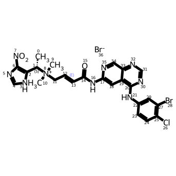 C[C@@H](c1[nH]cnc1[N+](=O)[O-])[N+](C)(C)C/C=C/C(=O)Nc1cc2c(Nc3ccc(Cl)c(Br)c3)ncnc2cn1.[Br-]